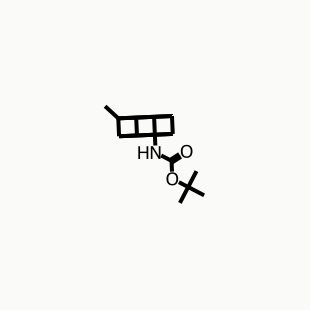 CC(C)(C)OC(=O)NC12C3C4C1C1C2C3C41C